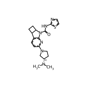 CN(C)[C@H]1CCN(c2ccc3c(n2)N(C(=O)Nc2nccs2)C2CCC32)C1